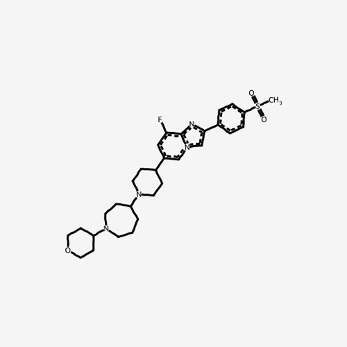 CS(=O)(=O)c1ccc(-c2cn3cc(C4CCN(C5CCCN(C6CCOCC6)CC5)CC4)cc(F)c3n2)cc1